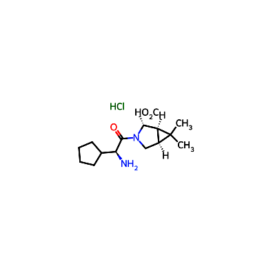 CC1(C)[C@@H]2[C@@H](C(=O)O)N(C(=O)[C@@H](N)C3CCCC3)C[C@@H]21.Cl